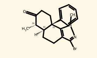 C[C@@H]1C(=O)CC[C@]2(c3ccccc3)c3c(c(Br)nn3C)CC[C@@H]12